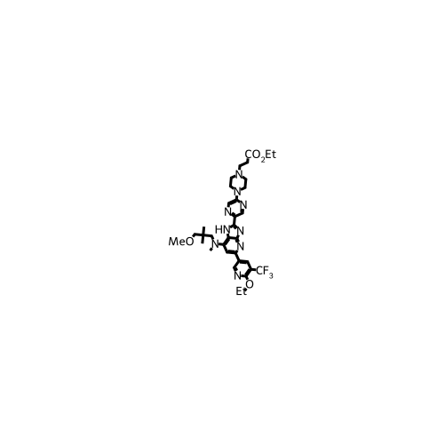 CCOC(=O)CCN1CCN(c2cnc(-c3nc4nc(-c5cnc(OCC)c(C(F)(F)F)c5)cc(N(C)CC(C)(C)COC)c4[nH]3)cn2)CC1